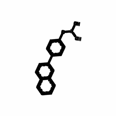 OB(O)Oc1ccc(-c2ccc3ccccc3c2)cc1